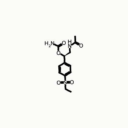 CCS(=O)(=O)c1ccc([C@H](CNC(C)=O)OC(N)=O)cc1